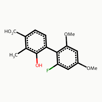 COc1cc(F)c(-c2ccc(C(=O)O)c(C)c2O)c(OC)c1